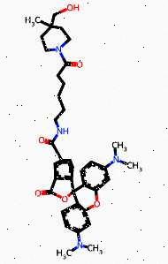 CN(C)c1ccc2c(c1)Oc1cc(N(C)C)ccc1C21OC(=O)c2cc(C(=O)NCCCCCC(=O)N3CCC(C)(CO)CC3)ccc21